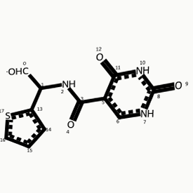 O=[C]C(NC(=O)c1c[nH]c(=O)[nH]c1=O)c1cccs1